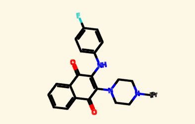 CC(C)N1CCN(C2=C(Nc3ccc(F)cc3)C(=O)c3ccccc3C2=O)CC1